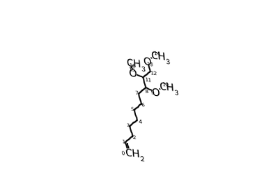 C=CCCCCCCC(OC)C(COC)OC